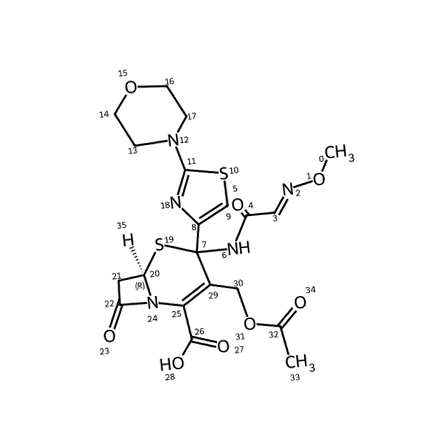 CON=CC(=O)NC1(c2csc(N3CCOCC3)n2)S[C@@H]2CC(=O)N2C(C(=O)O)=C1COC(C)=O